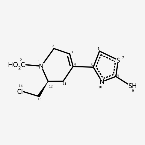 O=C(O)N1CC=C(c2csc(S)n2)C[C@H]1CCl